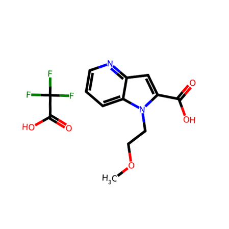 COCCn1c(C(=O)O)cc2ncccc21.O=C(O)C(F)(F)F